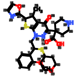 COc1ccccc1C(Cn1nc(C2(C(=O)O)CCNCC2)c(=O)c2c1SC(c1ncco1)C2C)SC1CCOCC1